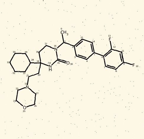 CC(c1ccc(-c2ccc(F)cc2F)cc1)N1CCC(CCN2CCOCC2)(C2CCCCC2)NC1=O